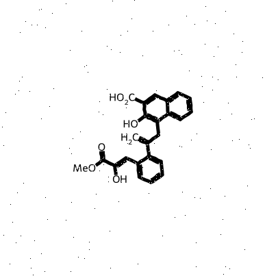 C=C(Cc1c(O)c(C(=O)O)cc2ccccc12)c1ccccc1/C=C(\O)C(=O)OC